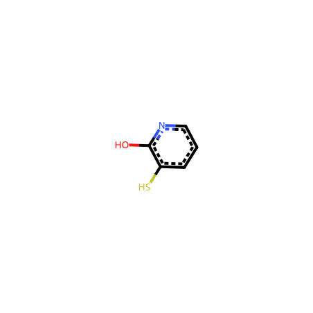 Oc1ncccc1S